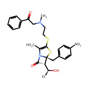 CC[C@H](O)[C@@H]1C(=O)N2C(C(=O)O)=C(SCCN(C)CC(=O)c3ccccc3)S[C@]12Cc1ccc([N+](=O)[O-])cc1